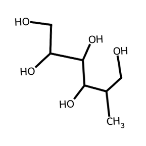 CC(CO)C(O)C(O)C(O)CO